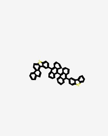 c1ccc2c(c1)ccc1c2ccc2sc3ccc(-c4c5ccccc5c(-c5c6ccccc6c(-c6ccc7sc8ccccc8c7c6)c6ccccc56)c5ccccc45)cc3c21